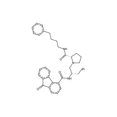 CC(C)C[C@@H](CN1CCC[C@H]1C(=O)NCCCCc1ccccc1)NC(=O)c1cccc2c1-c1ccccc1C2=O